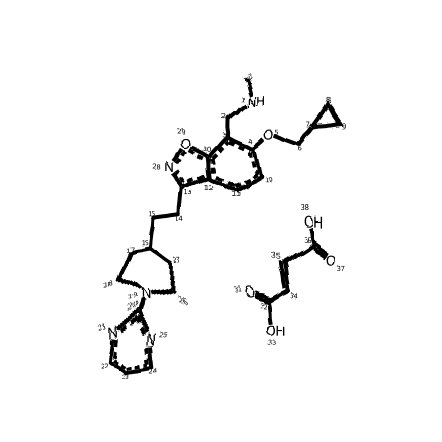 CNCc1c(OCC2CC2)ccc2c(CCC3CCN(c4ncccn4)CC3)noc12.O=C(O)C=CC(=O)O